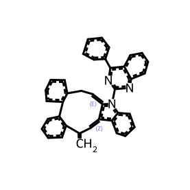 C=C1/C=c2\c(n(-c3nc(-c4ccccc4)c4ccccc4n3)c3ccccc23)=C/Cc2ccccc2-c2ccccc21